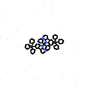 c1ccc([Si](c2ccccc2)(c2ccccc2)c2ccc3c(c2)c2cccnc2n3[Si](c2ccccc2)(c2ccccc2)n2c3ccc([Si](c4ccccc4)(c4ccccc4)c4ccccc4)cc3c3cccnc32)cc1